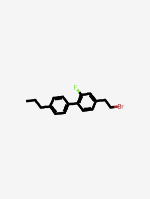 CCCc1ccc(-c2ccc(CCBr)cc2F)cc1